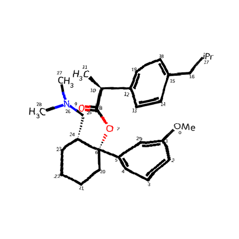 COc1cccc([C@@]2(OC(=O)[C@@H](C)c3ccc(CC(C)C)cc3)CCCC[C@@H]2CN(C)C)c1